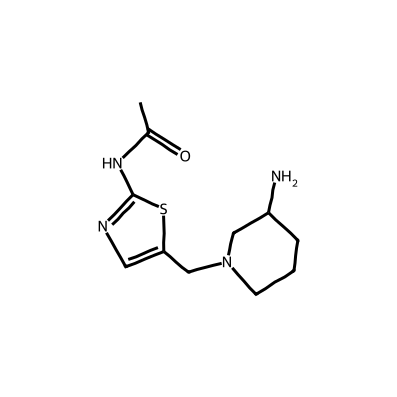 CC(=O)Nc1ncc(CN2CCCC(N)C2)s1